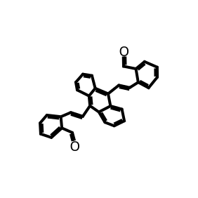 O=Cc1ccccc1C=Cc1c2ccccc2c(C=Cc2ccccc2C=O)c2ccccc12